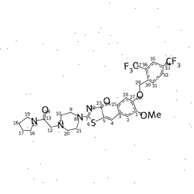 COc1cc(C=C2SC(N3CCN(CC(=O)N4CCCC4)CC3)=NC2=O)ccc1OCc1ccc(C(F)(F)F)cc1C(F)(F)F